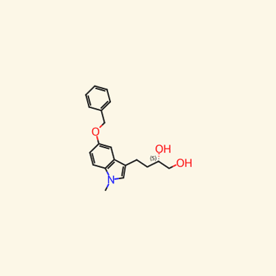 Cn1cc(CC[C@H](O)CO)c2cc(OCc3ccccc3)ccc21